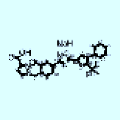 O=C(O)c1ccn(Cc2ccc(-c3noc(-c4cc(-c5ccccc5)c(C(F)(F)F)s4)n3)cc2Cl)n1.[NaH]